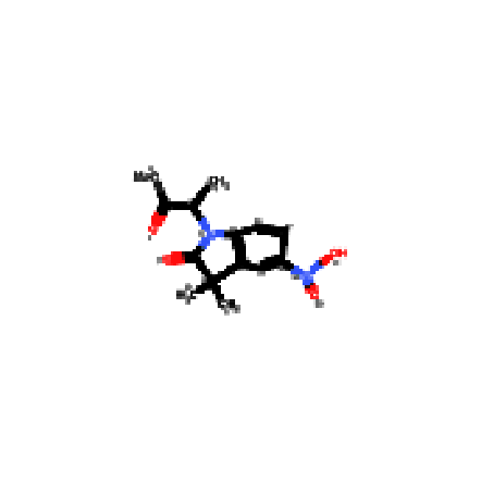 COC(=O)C(C)N1C(=O)C(C)(C)c2cc([N+](=O)O)ccc21